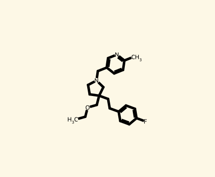 CCOCC1(CCc2ccc(F)cc2)CCN(Cc2ccc(C)nc2)C1